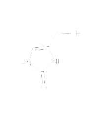 CCc1c[nH]c(=O)[nH]1